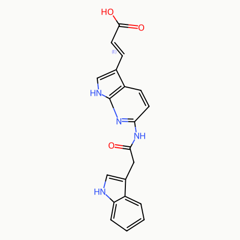 O=C(O)/C=C/c1c[nH]c2nc(NC(=O)Cc3c[nH]c4ccccc34)ccc12